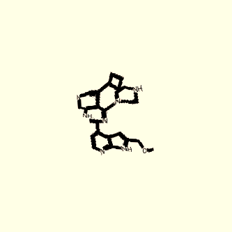 C=C(/N=C(\c1c(N)cncc1C1CCC1)N1CCNCC1)c1ccnc2[nH]c(COC)cc12